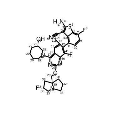 N#Cc1c(N)sc2c(F)ccc(-c3c(Cl)cc4c(N5CCCC[C@H](O)C5)nc(OC[C@@]56CCCN5C[C@H](F)C6)nc4c3F)c12